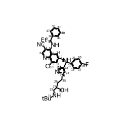 CC[C@@H](Nc1c(C#N)cnc2c(Cl)cc(NC(c3ccc(F)cc3)c3cn(CCC(O)CNC(C)(C)C)nn3)cc12)c1ccccc1